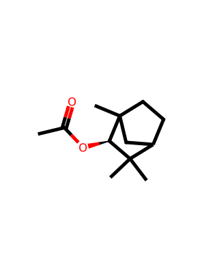 CC(=O)O[C@H]1C2(C)CCC(C2)C1(C)C